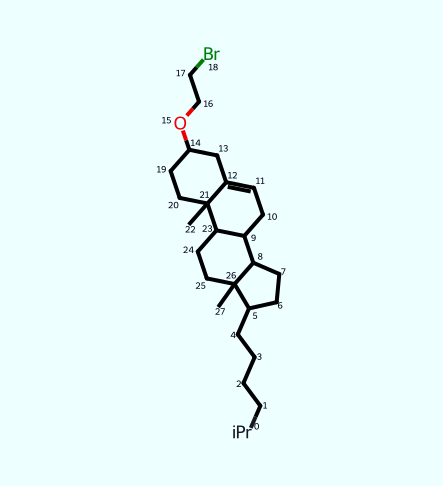 CC(C)CCCCC1CCC2C3CC=C4CC(OCCBr)CCC4(C)C3CCC12C